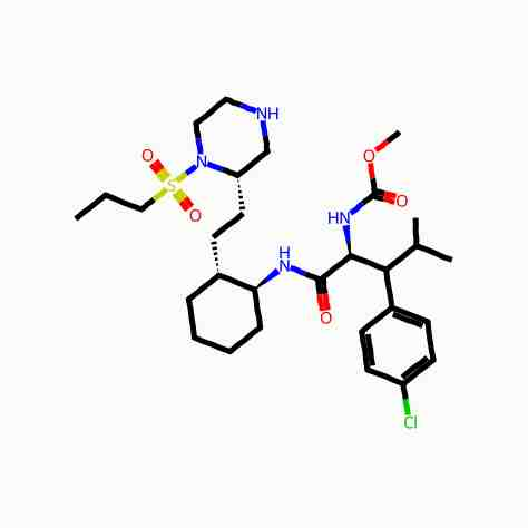 CCCS(=O)(=O)N1CCNC[C@@H]1CC[C@H]1CCCC[C@@H]1NC(=O)[C@@H](NC(=O)OC)C(c1ccc(Cl)cc1)C(C)C